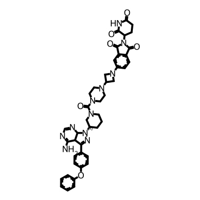 NC1=NC=NC2C1C(c1ccc(Oc3ccccc3)cc1)=NN2[C@@H]1CCCN(C(=O)N2CCN(C3CN(c4ccc5c(c4)C(=O)N(C4CCC(=O)NC4=O)C5=O)C3)CC2)C1